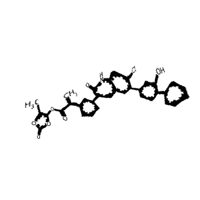 Cc1oc(=O)oc1OC(=O)C(C)c1cccc(-c2cc3cc(-c4ccc(-c5ccccc5)c(O)c4)c(Cl)cc3[nH]c2=O)c1